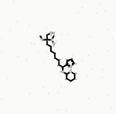 CSC(CO)(CCCCCCCC(OC1CCCCO1)c1ccco1)[S+](C)[O-]